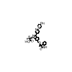 O=C(O)C(F)(F)F.O=C1Nc2ccccc2C12CC2OCc1ccc2c(-c3ccc(N4CCC(O)CC4)nc3)n[nH]c2c1